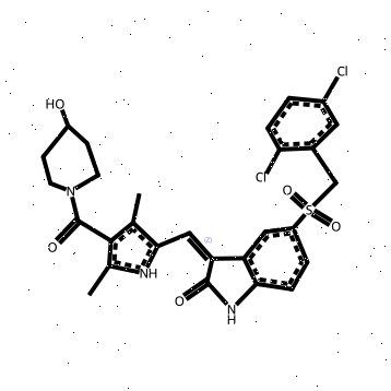 Cc1[nH]c(/C=C2\C(=O)Nc3ccc(S(=O)(=O)Cc4cc(Cl)ccc4Cl)cc32)c(C)c1C(=O)N1CCC(O)CC1